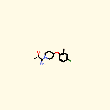 Cc1cc(Cl)ccc1OC1CCN(C(N)[C@@H](C)O)CC1